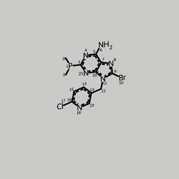 CP(C)c1nc(N)c2nc(Br)n(Cc3ccc(Cl)nc3)c2n1